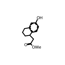 COC(=O)CC1CCCc2cc(O)ccc21